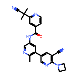 Cc1ncc(NC(=O)c2ccnc(C(C)(C)C#N)c2)cc1-c1cnc(N2CCC2)c(C#N)c1